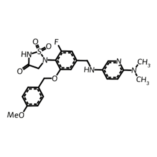 COc1ccc(COc2cc(CNc3ccc(N(C)C)nc3)cc(F)c2N2CC(=O)NS2(=O)=O)cc1